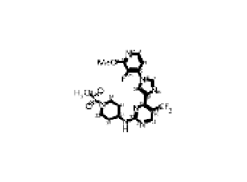 COc1nccc(-n2cnc(-c3nc(NC4CCN(S(C)(=O)=O)CC4)ncc3C(F)(F)F)c2)c1F